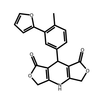 Cc1ccc(C2C3=C(COC3=O)NC3=C2C(=O)OC3)cc1-c1ccco1